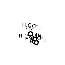 CCN(CC)c1cc(C)c2c(c1)[C@H]1[C@@H](N2)c2ccccc2C1(C)C